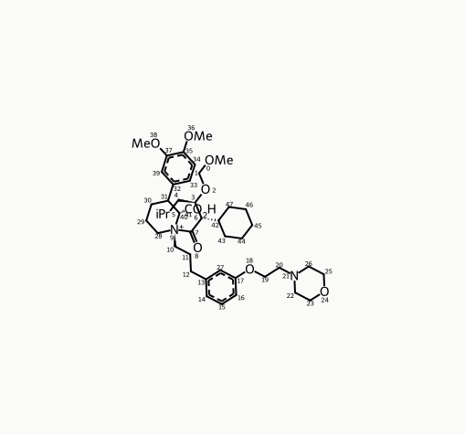 COCO[C@H](CC(C)C)[C@@H](C(=O)[N@+]1(CCCc2cccc(OCCN3CCOCC3)c2)CCCC(c2ccc(OC)c(OC)c2)[C@@H]1C(=O)O)C1CCCCC1